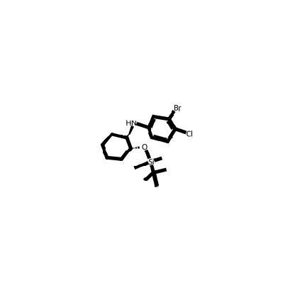 CC(C)(C)[Si](C)(C)O[C@@H]1CCCC[C@H]1Nc1ccc(Cl)c(Br)c1